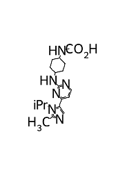 Cc1ncc(-c2ccnc(NC3CCC(NC(=O)O)CC3)n2)n1C(C)C